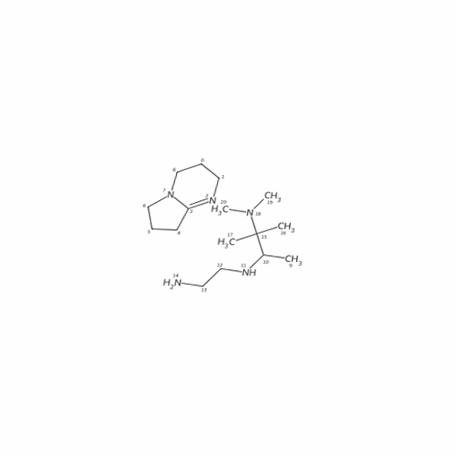 C1CN=C2CCCN2C1.CC(NCCN)C(C)(C)N(C)C